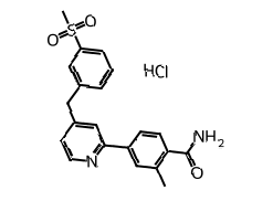 Cc1cc(-c2cc(Cc3cccc(S(C)(=O)=O)c3)ccn2)ccc1C(N)=O.Cl